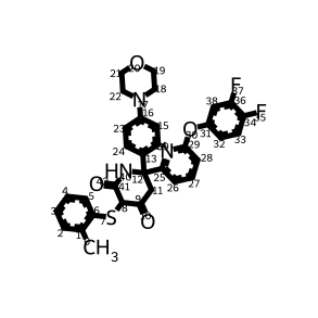 Cc1ccccc1SC1C(=O)CC(c2ccc(N3CCOCC3)cc2)(c2cccc(Oc3ccc(F)c(F)c3)n2)NC1=O